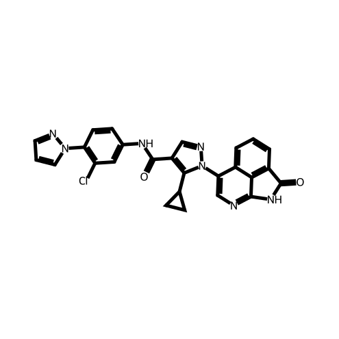 O=C(Nc1ccc(-n2cccn2)c(Cl)c1)c1cnn(-c2cnc3c4c(cccc24)C(=O)N3)c1C1CC1